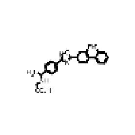 CC1=C(c2ccccc2C(F)(F)F)C=CC(c2nc(-c3ccc(C(C)NCC(=O)O)cc3)no2)C1